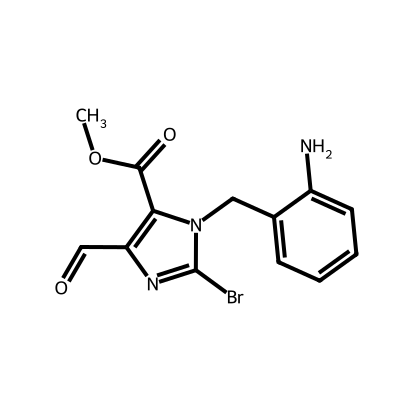 COC(=O)c1c(C=O)nc(Br)n1Cc1ccccc1N